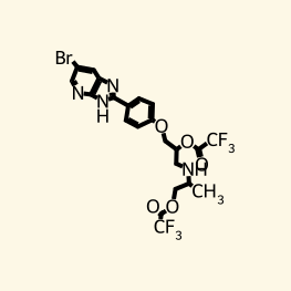 CC(COC(=O)C(F)(F)F)NCC(COc1ccc(-c2nc3cc(Br)cnc3[nH]2)cc1)OC(=O)C(F)(F)F